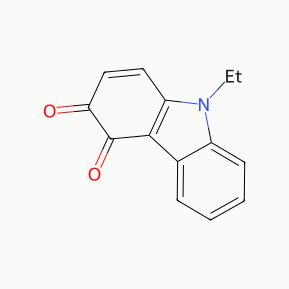 CCn1c2c(c3ccccc31)C(=O)C(=O)C=C2